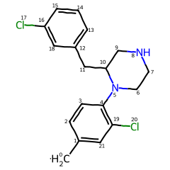 [CH2]c1ccc(N2CCNCC2Cc2cccc(Cl)c2)c(Cl)c1